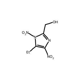 CCc1c([N+](=O)[O-])nc(CO)n1[N+](=O)[O-]